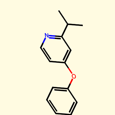 CC(C)c1cc(Oc2ccccc2)ccn1